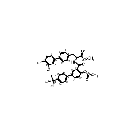 COC(=O)C(Cc1ccc(-c2ccc(F)c(Cl)c2)cc1)NC(=O)c1cc(-c2ccc(C(F)(F)F)cc2)ccc1OC(C)=O